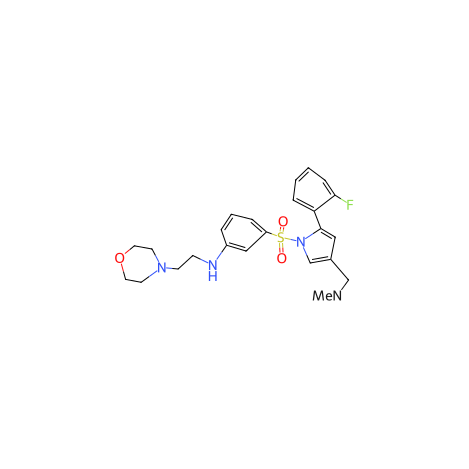 CNCc1cc(-c2ccccc2F)n(S(=O)(=O)c2cccc(NCCN3CCOCC3)c2)c1